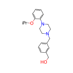 CC(C)Oc1ccccc1N1CCN(Cc2cccc(CO)c2)CC1